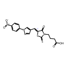 O=C(O)CCCN1C(=O)/C(=C/c2cnn(-c3ccc([N+](=O)[O-])cc3)c2)SC1=S